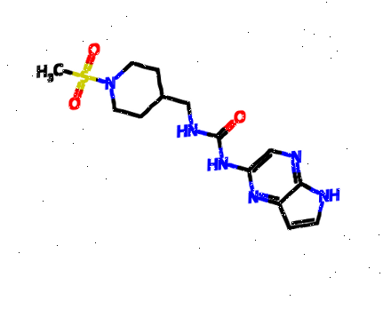 CS(=O)(=O)N1CCC(CNC(=O)Nc2cnc3[nH]ccc3n2)CC1